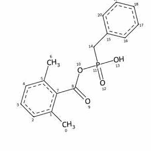 Cc1cccc(C)c1C(=O)OP(=O)(O)Cc1ccccc1